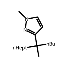 CCCCCCCC(C)(CCCC)c1ccn(C)n1